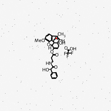 COc1ccc2c3c1O[C@H]1C(OC(=O)CCNC(=O)[C@H](O)c4ccccc4)=CC[C@@]4(O)[C@@H](C2)N(C)CC[C@]314.O=C(O)C(F)(F)F